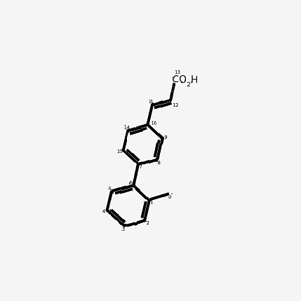 [CH2]c1ccccc1-c1ccc(C=CC(=O)O)cc1